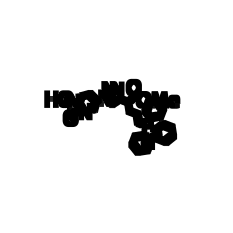 COC(=O)C(C/C=C/[PH](c1ccccc1)(c1ccccc1)c1ccccc1)c1cn(C2=CC3CN(C2)C(=O)N3O)nn1